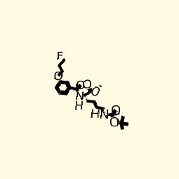 COC(=O)[C@H](CCCCNC(=O)OC(C)(C)C)NC(=O)c1cccc(OCCCF)c1